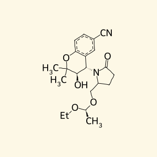 CCO[C@H](C)OCC1CCC(=O)N1[C@H]1c2cc(C#N)ccc2OC(C)(C)[C@@H]1O